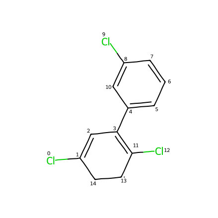 ClC1=CC(c2cccc(Cl)c2)=C(Cl)[CH]C1